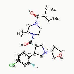 CC(=O)N[C@@H](CC(C)(C)C)C(=O)N1CCN(C(=O)[C@@H]2CN([C@@H]3CCOC3)C[C@H]2c2ccc(Cl)cc2F)[C@@H](C)C1